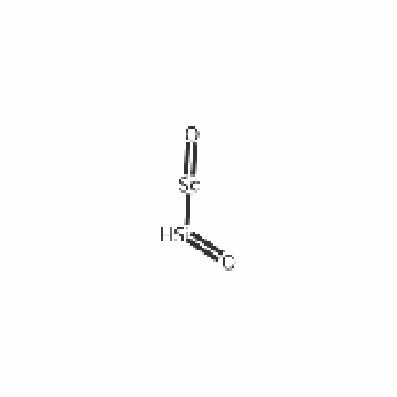 O=[SiH][Sc]=[O]